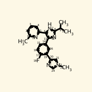 Cc1cccc(-c2[nH]c(C(C)C)nc2-c2ccc(F)c(-c3cn(C)cn3)c2)n1